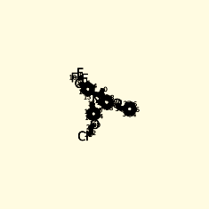 Cc1c(-c2ccc(OC(F)(F)F)cc2)n(Cc2ccc(OCCCl)cc2)c2ccc(OCc3ccccc3)cc12